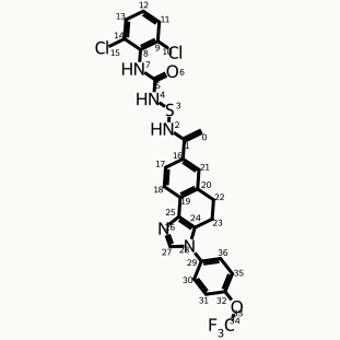 C=C(NSNC(=O)Nc1c(Cl)cccc1Cl)c1ccc2c(c1)CCc1c-2ncn1-c1ccc(OC(F)(F)F)cc1